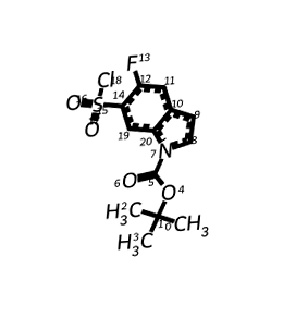 CC(C)(C)OC(=O)n1ccc2cc(F)c(S(=O)(=O)Cl)cc21